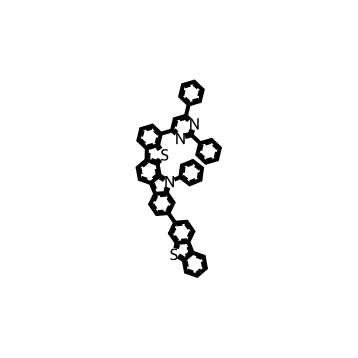 c1ccc(-c2cc(-c3cccc4c3sc3c4ccc4c5ccc(-c6ccc7c(c6)sc6ccccc67)cc5n(-c5ccccc5)c43)nc(-c3ccccc3)n2)cc1